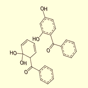 O=C(c1ccccc1)C1C=CC=CC1(O)O.O=C(c1ccccc1)c1ccc(O)cc1O